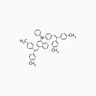 Cc1ccc(C(=Cc2ccc(N(c3ccccc3)c3ccc(C=C(c4ccc(C)cc4)c4ccc(C)cc4)c4ccccc34)cc2)c2ccc(C)cc2)cc1